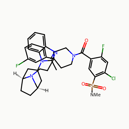 CNS(=O)(=O)c1cc(C(=O)N2CCC(CCN3[C@@H]4CC[C@H]3CC(n3c(C)nc5ccccc53)C4)(c3cccc(F)c3)CC2)c(F)cc1Cl